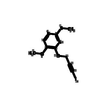 COc1cnc(SC)nc1OCC#CI